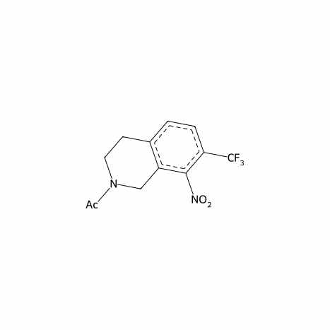 CC(=O)N1CCc2ccc(C(F)(F)F)c([N+](=O)[O-])c2C1